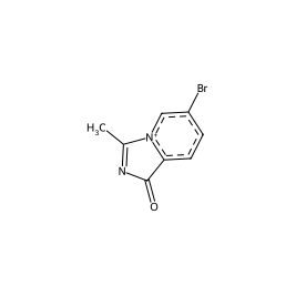 CC1=NC(=O)c2ccc(Br)c[n+]21